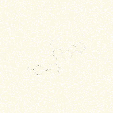 Cc1cc2c(oc3cc(F)ccc32)c(-c2c3ccc4c5ccccc5oc4c3cc(CC(C)C)[n+]2C)c1C